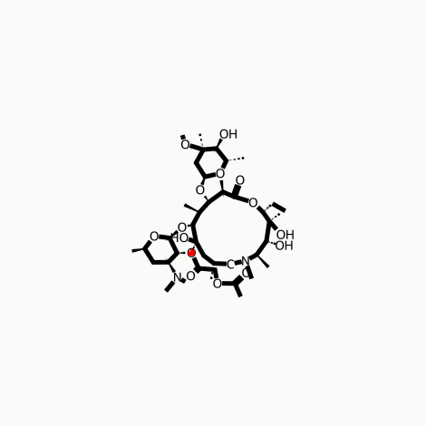 CC[C@H]1OC(=O)[C@H](C)[C@@H](O[C@H]2C[C@@](C)(OC)[C@@H](O)[C@H](C)O2)[C@H](C)[C@@H](O[C@@H]2O[C@H](C)C[C@H](N(C)C)[C@H]2OC(=O)COC(C)=O)[C@](C)(O)C[C@@H](C)CN(C)[C@H](C)[C@@H](O)[C@]1(C)O